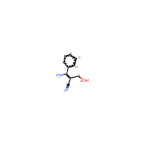 N#C/C(CO)=C(\N)c1ccccc1